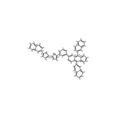 c1cc(-c2ccc3c(-c4ccc5ccccc5c4)c4ccccc4c(-c4ccc5ccccc5c4)c3c2)cc(-c2ccc(-c3ccc(-c4ccc5ccccc5c4)s3)s2)c1